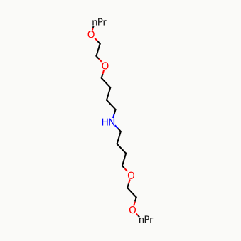 CCCOCCOCCCCNCCCCOCCOCCC